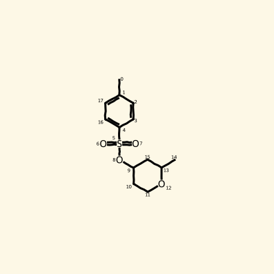 Cc1ccc(S(=O)(=O)OC2CCOC(C)C2)cc1